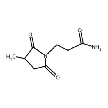 CC1CC(=O)N(CCC(N)=O)C1=O